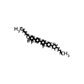 C/C=C/CCC1CCC(C2CC=C(c3ccc(-c4ccc(-c5ccc(OCCCCCC)c(F)c5F)cc4)cc3F)CC2)CC1